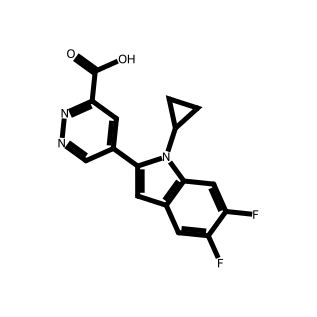 O=C(O)c1cc(-c2cc3cc(F)c(F)cc3n2C2CC2)cnn1